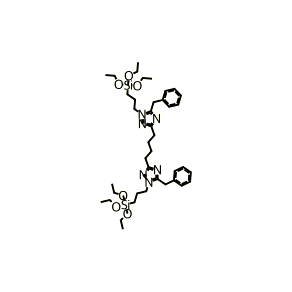 CCO[Si](CCCn1nc(CCCCc2nc(Cc3ccccc3)n(CCC[Si](OCC)(OCC)OCC)n2)nc1Cc1ccccc1)(OCC)OCC